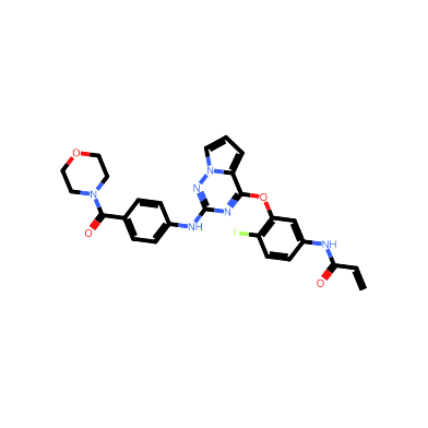 C=CC(=O)Nc1ccc(F)c(Oc2nc(Nc3ccc(C(=O)N4CCOCC4)cc3)nn3cccc23)c1